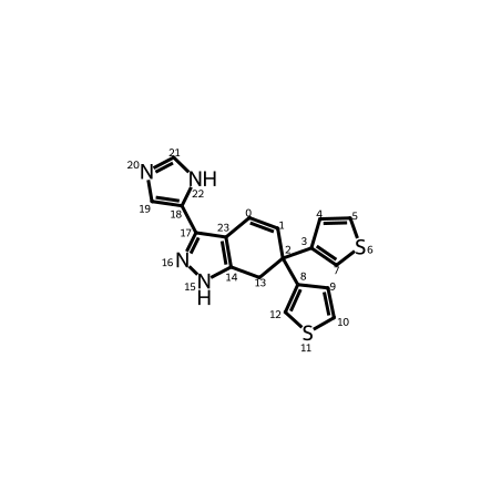 C1=CC(c2ccsc2)(c2ccsc2)Cc2[nH]nc(-c3cnc[nH]3)c21